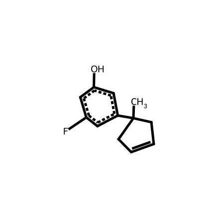 CC1(c2cc(O)cc(F)c2)CC=CC1